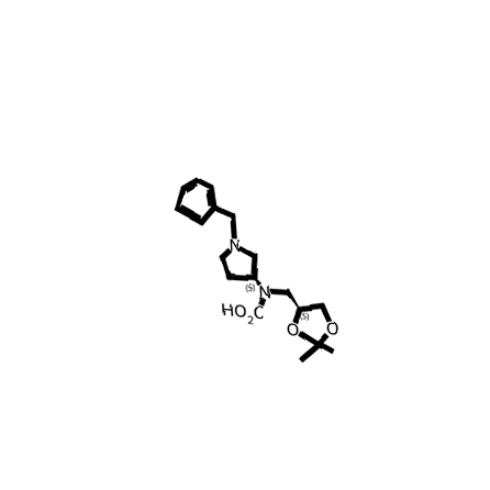 CC1(C)OC[C@H](CN(C(=O)O)[C@H]2CCN(Cc3ccccc3)C2)O1